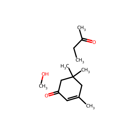 CC1=CC(=O)CC(C)(C)C1.CCC(C)=O.CO